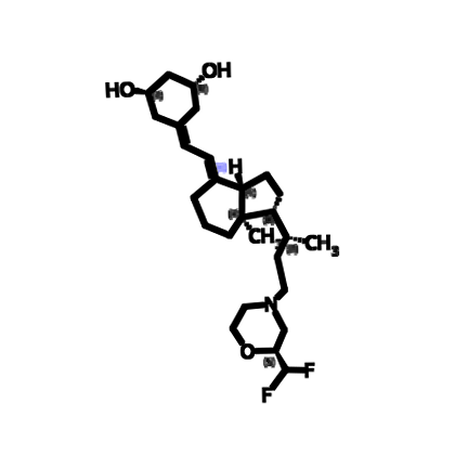 C[C@H](CCN1CCO[C@H](C(F)F)C1)[C@H]1CC[C@H]2/C(=C/C=C3C[C@@H](O)C[C@H](O)C3)CCC[C@]12C